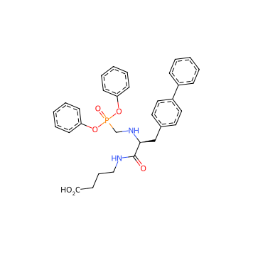 O=C(O)CCCNC(=O)[C@H](Cc1ccc(-c2ccccc2)cc1)NCP(=O)(Oc1ccccc1)Oc1ccccc1